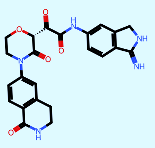 N=C1NCc2cc(NC(=O)C(=O)[C@H]3OCCN(c4ccc5c(c4)CCNC5=O)C3=O)ccc21